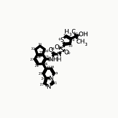 CC(C)(O)c1csc(S(=O)(=O)NC(=O)Nc2c(-c3ccn4cncc4c3)ccc3c2CCC3)c1